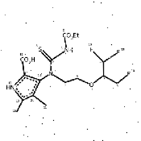 CCOC(=O)NC(=S)N(CCOC(CF)C(F)F)c1c(C(=O)O)[nH]c(C)c1C